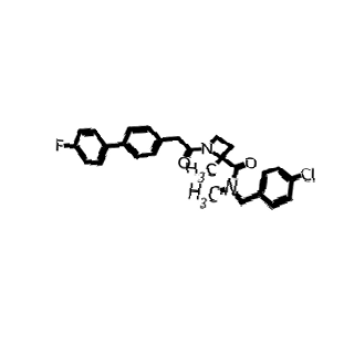 CN(Cc1ccc(Cl)cc1)C(=O)C1(C)CCN1C(=O)Cc1ccc(-c2ccc(F)cc2)cc1